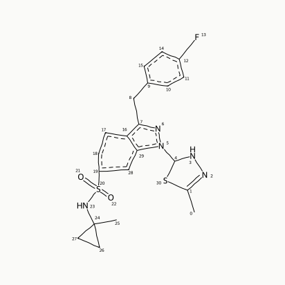 CC1=NNC(n2nc(Cc3ccc(F)cc3)c3ccc(S(=O)(=O)NC4(C)CC4)cc32)S1